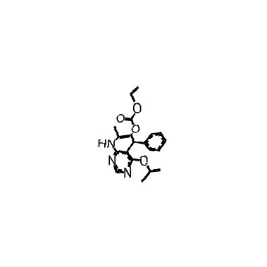 CCOC(=O)OC1=C(C)Nc2ncnc(OC(C)C)c2C1c1ccccc1